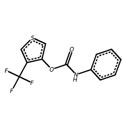 O=C(Nc1ccccc1)Oc1cscc1C(F)(F)F